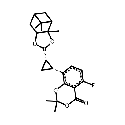 CC1(C)OC(=O)c2c(F)ccc([C@@H]3C[C@@H]3B3OC4CC5CC(C5(C)C)[C@]4(C)O3)c2O1